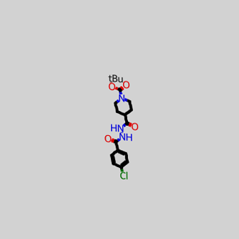 CC(C)(C)OC(=O)N1CCC(C(=O)NNC(=O)c2ccc(Cl)cc2)CC1